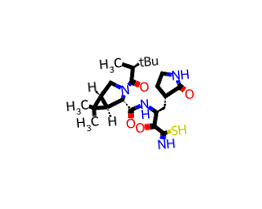 C[C@H](C(=O)N1C[C@H]2[C@@H]([C@H]1C(=O)N[C@@H](C[C@@H]1CCNC1=O)C(=O)C(=N)S)C2(C)C)C(C)(C)C